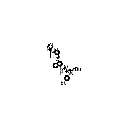 CCc1ccc(-n2nc(C(C)(C)C)cc2NC(=O)Nc2ccc(OCc3ccnc(Nc4cnccn4)c3)c3ccccc23)cc1